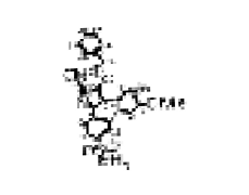 COc1ccc(-c2c(-c3ccc(S(C)(=O)=O)cc3)nn(CC#N)c2COCc2ccccc2)cc1F